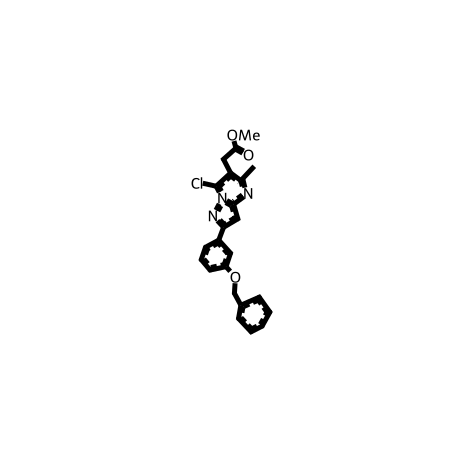 COC(=O)Cc1c(C)nc2cc(-c3cccc(OCc4ccccc4)c3)nn2c1Cl